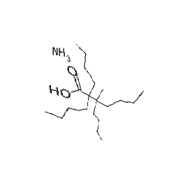 CCCCC(C)(CCCC)C(CCCC)(CCCC)C(=O)O.N